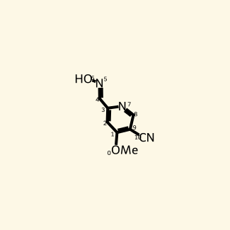 COc1cc(/C=N/O)ncc1C#N